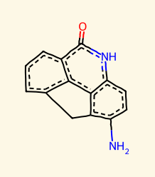 Nc1ccc2[nH]c(=O)c3cccc4c3c2c1C4